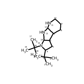 CC(C)(C)C1CC2C3CCCNC3NC2N1C(C)(C)C